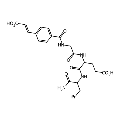 CC(C)CC(NC(=O)C(CCC(=O)O)NC(=O)CNC(=O)c1ccc(C=CC(=O)O)cc1)C(N)=O